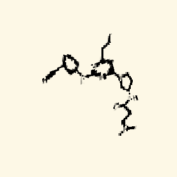 CCCc1cc(N2CC[C@H](NC(=O)CCN(C)C)C2)nc(Nc2cccc(C#N)c2)n1